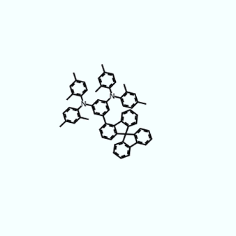 Cc1ccc(N(c2cc(-c3cccc4c3-c3ccccc3C43c4ccccc4-c4ccccc43)cc(N(c3ccc(C)cc3C)c3ccc(C)cc3C)c2)c2ccc(C)cc2C)c(C)c1